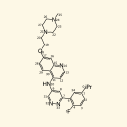 CC(C)c1ccc(F)c(-c2cc(Nc3ccnc4cc(OCCN5CCN(C)CC5)ccc34)cnn2)c1